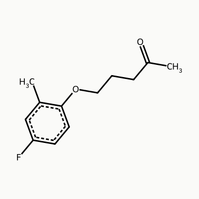 CC(=O)CCCOc1ccc(F)cc1C